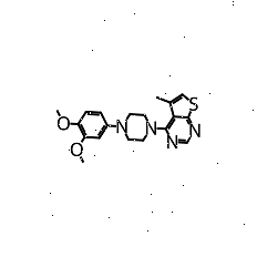 COc1ccc(N2CCN(c3ncnc4scc(C)c34)CC2)cc1OC